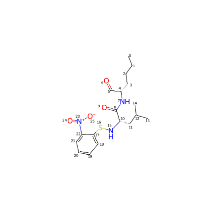 CCCC[C@@H](C=O)NC(=O)[C@H](CC(C)C)NSc1ccccc1[N+](=O)[O-]